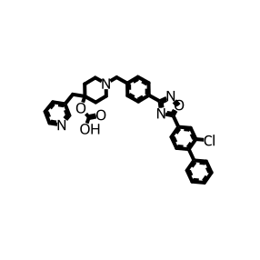 O=C(O)OC1(Cc2cccnc2)CCN(Cc2ccc(-c3noc(-c4ccc(-c5ccccc5)c(Cl)c4)n3)cc2)CC1